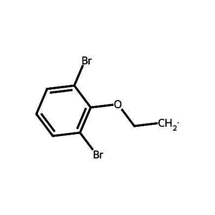 [CH2]COc1c(Br)cccc1Br